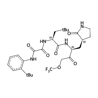 CC(C)(C)C[C@H](NC(=O)C(=O)Nc1ccccc1C(C)(C)C)C(=O)N[C@@H](C[C@@H]1CCNC1=O)C(=O)COC(F)(F)F